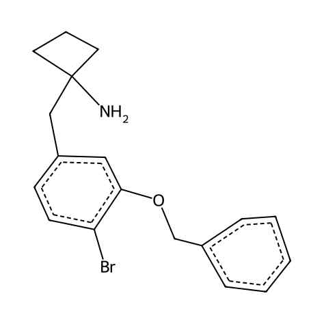 NC1(Cc2ccc(Br)c(OCc3ccccc3)c2)CCC1